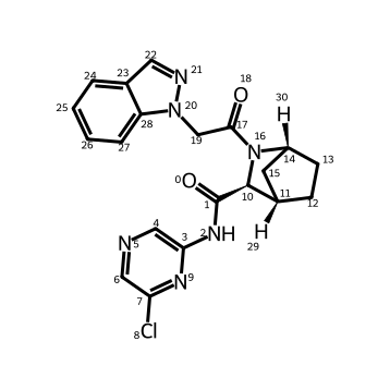 O=C(Nc1cncc(Cl)n1)[C@@H]1[C@H]2CC[C@H](C2)N1C(=O)Cn1ncc2ccccc21